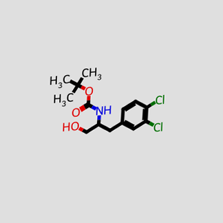 CC(C)(C)OC(=O)NC(CO)Cc1ccc(Cl)c(Cl)c1